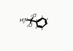 NC(Cl)(Cl)c1cc[c]cc1